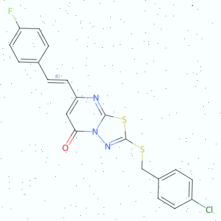 O=c1cc(/C=C/c2ccc(F)cc2)nc2sc(SCc3ccc(Cl)cc3)nn12